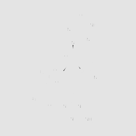 CC[C@H]1O[C@@H](n2cnc(N)nc2=O)C[C@H]1OP(=O)(O)OC[C@H]1O[C@@H](n2cnc3c(=O)[nH]c(C)nc32)C[C@H]1OC(=O)N(C)C